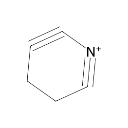 C1#C[N+]#CCC1